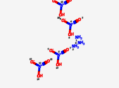 N.N.N.O=[N+]([O-])O.O=[N+]([O-])O.O=[N+]([O-])O.O=[N+]([O-])O